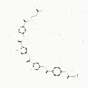 Cl.Cn1cc(NC(=O)c2cc(NC(=O)c3cc(NC(=O)c4ccc(NC(=O)C5CO5)cc4)cn3C)cn2C)cc1C(=O)NCCC(=N)N